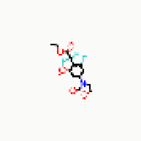 CCOC(=O)C(F)(F)c1c(F)cc(N2CCOC2=O)cc1OC